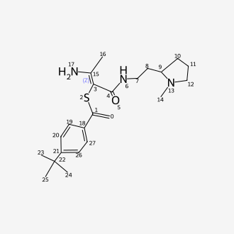 C=C(S/C(C(=O)NCCC1CCCN1C)=C(/C)N)c1ccc(C(C)(C)C)cc1